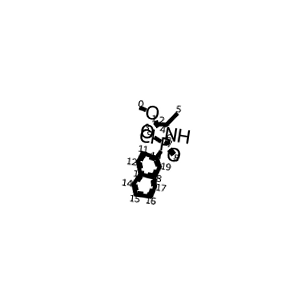 COC(=O)C(C)NP(=O)(Cl)c1ccc2ccccc2c1